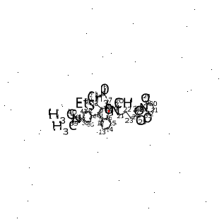 CCS1(C)C2=CC(=O)C=CC2=C(c2ccccc2C(=O)N(C)CCCC(=O)ON2C(=O)CCC2=O)c2ccc(N(C)C)cc21